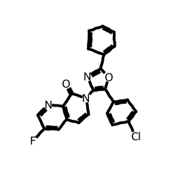 O=c1c2ncc(F)cc2ccn1-c1nc(-c2ccccc2)oc1-c1ccc(Cl)cc1